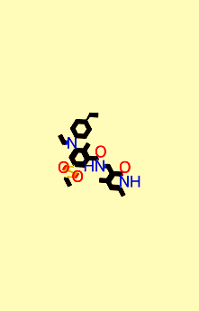 CCN(c1cc(S(=O)(=O)CC)cc(C(=O)NCc2c(C)cc(C)[nH]c2=O)c1C)[C@H]1CC[C@H](CC)CC1